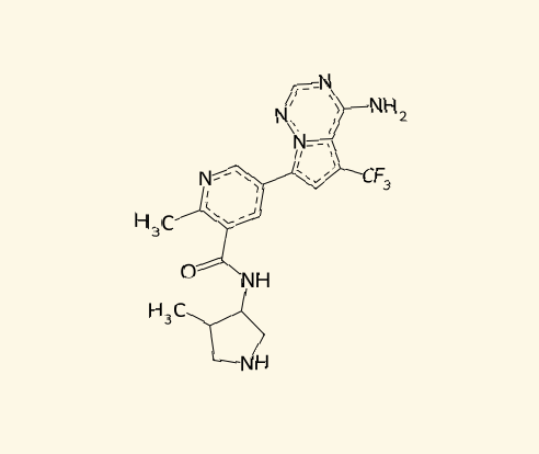 Cc1ncc(-c2cc(C(F)(F)F)c3c(N)ncnn23)cc1C(=O)NC1CNCC1C